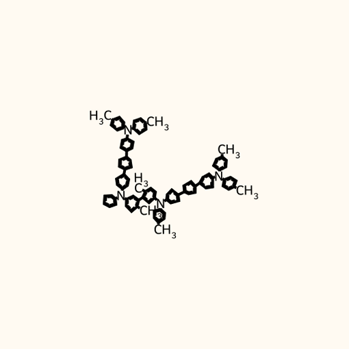 Cc1ccc(N(c2ccc(C)cc2)c2ccc(-c3ccc(-c4ccc(N(c5ccccc5)c5ccc(C)c(-c6cc(N(c7ccc(C)cc7)c7ccc(-c8ccc(-c9ccc(N(c%10ccc(C)cc%10)c%10ccc(C)cc%10)cc9)cc8)cc7)ccc6C)c5)cc4)cc3)cc2)cc1